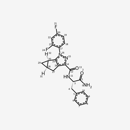 NC(=O)[C@H](Cc1ccccc1)NC(=O)c1nn(-c2ccc(F)cc2F)c2c1C[C@H]1C[C@@H]21